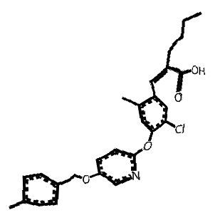 CCCCC(=Cc1cc(Cl)c(Oc2ccc(OCc3ccc(C)cc3)cn2)cc1C)C(=O)O